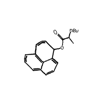 CCCCC(C)C(=O)OC1C=Cc2cccc3cccc1c23